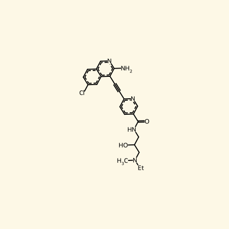 CCN(C)CC(O)CNC(=O)c1ccc(C#Cc2c(N)ncc3ccc(Cl)cc23)nc1